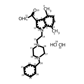 Cc1ccc(C)c2c1c(C(=O)C=O)cn2CCN1CCN(Cc2ccccc2)CC1.Cl.Cl